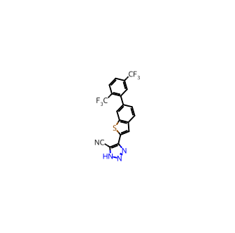 N#Cc1[nH]nnc1-c1cc2ccc(-c3cc(C(F)(F)F)ccc3C(F)(F)F)cc2s1